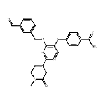 CN1CCN(c2ncc(Sc3ccc(C(N)=O)cc3)c(OCc3cccc(C=O)c3)n2)CC1=O